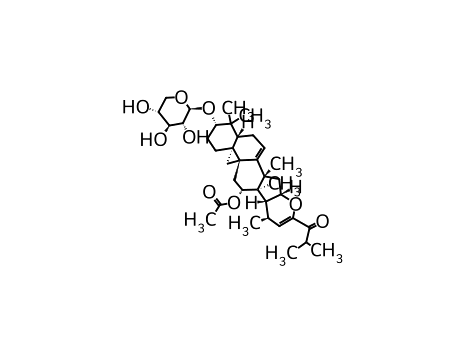 CC(=O)O[C@@H]1C[C@@]23C[C@@]24CC[C@H](O[C@@H]2OC[C@@H](O)[C@H](O)[C@H]2O)C(C)(C)[C@@H]4CC=C3[C@]2(C)C[C@@H]3OC(C(=O)C(C)C)=C[C@@H](C)[C@@H]3[C@@]12C